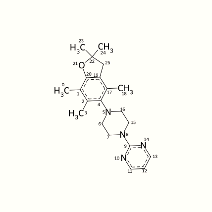 Cc1c(C)c(N2CCN(c3ncccn3)CC2)c(C)c2c1OC(C)(C)C2